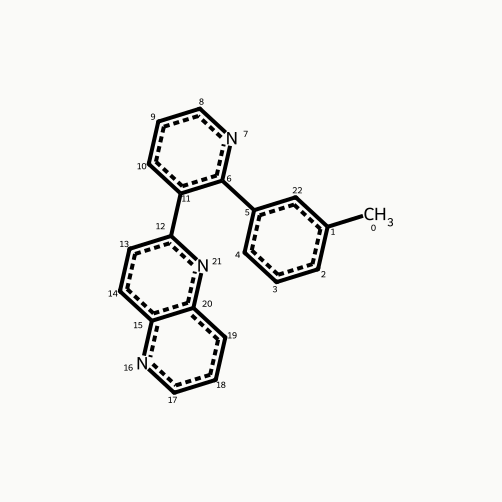 Cc1cccc(-c2ncccc2-c2ccc3ncccc3n2)c1